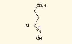 O=C(O)CC/C(Cl)=N/O